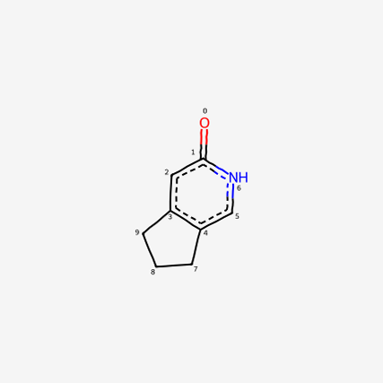 O=c1cc2c(c[nH]1)CCC2